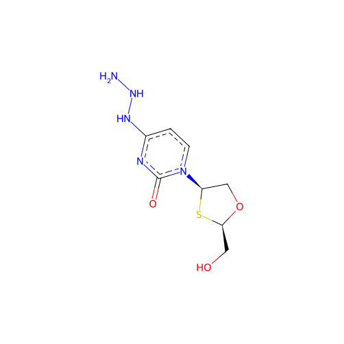 NNNc1ccn([C@H]2CO[C@@H](CO)S2)c(=O)n1